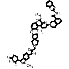 Cc1c(O[C@@H]2CCC3(CCN(CC(=O)Nc4ccc5c(C6CCC(=O)NC6=O)nn(C)c5c4)CC3)C2)cccc1-c1ccc(N2CCc3cccc(C(=O)Nc4nc5ccccc5s4)c3C2)nc1C(=O)OC(C)(C)C